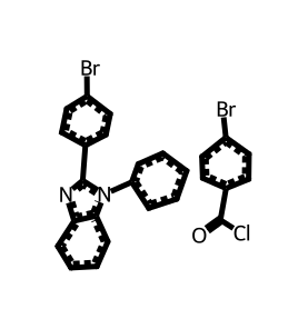 Brc1ccc(-c2nc3ccccc3n2-c2ccccc2)cc1.O=C(Cl)c1ccc(Br)cc1